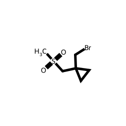 CS(=O)(=O)CC1(CBr)CC1